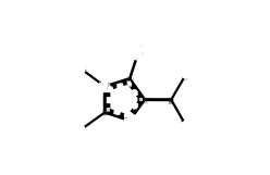 Cc1nc(C(C)C)c(O)n1C